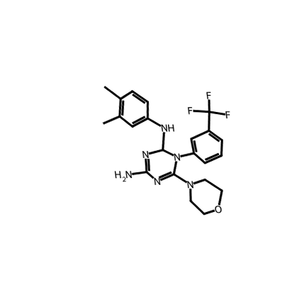 Cc1ccc(NC2N=C(N)N=C(N3CCOCC3)N2c2cccc(C(F)(F)F)c2)cc1C